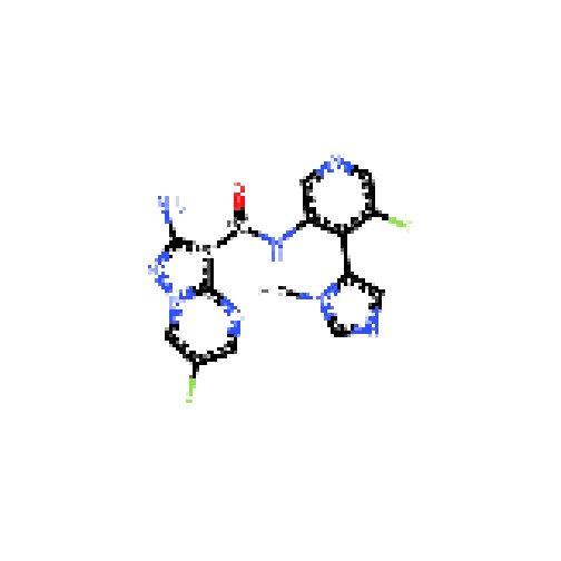 Cn1cncc1-c1c(F)cncc1N[13C](=O)[13c]1c(N)nn2cc(F)cnc12